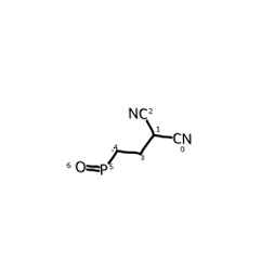 N#CC(C#N)C[CH]P=O